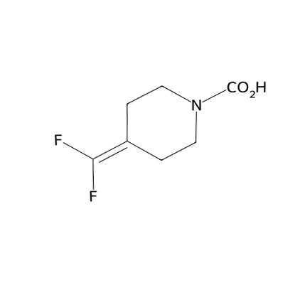 O=C(O)N1CCC(=C(F)F)CC1